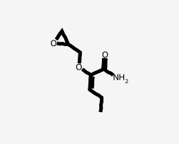 CC/C=C(/OCC1CO1)C(N)=O